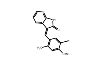 COc1cc(C)c(C=C2C(=O)Nc3ncccc32)cc1C(C)C